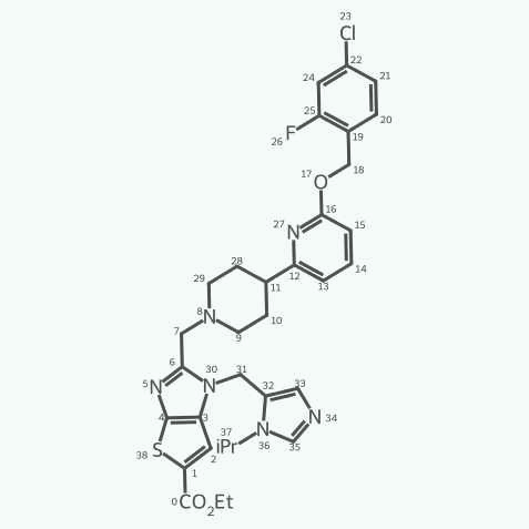 CCOC(=O)c1cc2c(nc(CN3CCC(c4cccc(OCc5ccc(Cl)cc5F)n4)CC3)n2Cc2cncn2C(C)C)s1